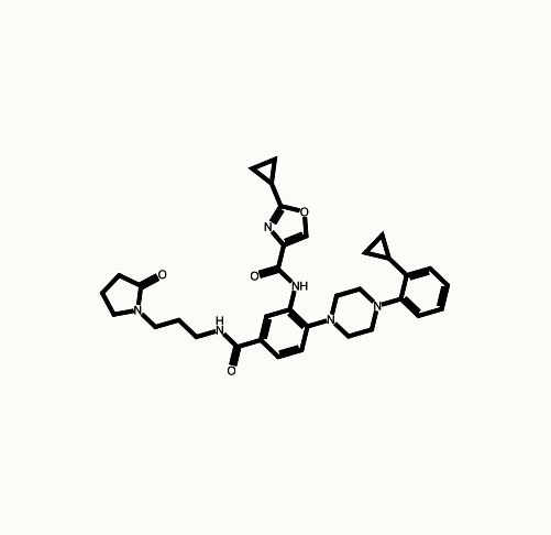 O=C(NCCCN1CCCC1=O)c1ccc(N2CCN(c3ccccc3C3CC3)CC2)c(NC(=O)c2coc(C3CC3)n2)c1